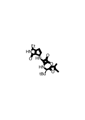 CCC1NC(=O)C2=C1C=CC2Nc1c(N[C@@H](c2cc(C)c(C)o2)C(C)(C)C)c(=O)c1=O